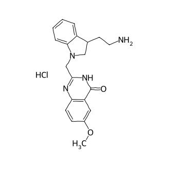 COc1ccc2nc(CN3CC(CCN)c4ccccc43)[nH]c(=O)c2c1.Cl